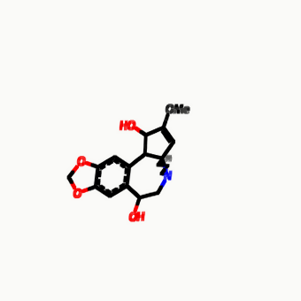 COC1=C[C@]23CCCN2CC(O)c2cc4c(cc2C3C1O)OCO4